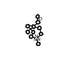 c1ccc(-c2nc(-c3ccccc3)nc(-c3cccc(-c4cccc(-c5cc6c(cc5-c5ccc7oc8ccccc8c7c5)-c5ccccc5C6(c5ccccc5)c5ccccc5)c4)c3)n2)cc1